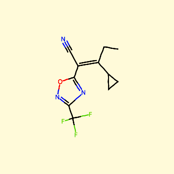 CCC(=C(C#N)c1nc(C(F)(F)F)no1)C1CC1